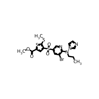 CCCN(c1ncc(S(=O)(=O)c2cc(C(=O)OC)sc2SC)cc1Br)n1ccnc1